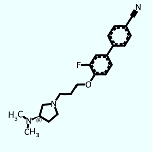 CN(C)[C@@H]1CCN(CCCOc2ccc(-c3ccc(C#N)cc3)cc2F)C1